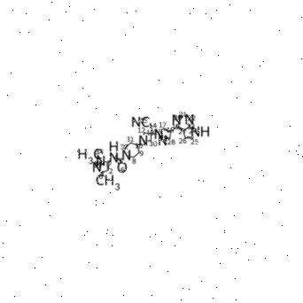 Cc1cc(NC(=O)N2CCC(N3CC(CC#N)(n4cc(-c5ncnc6[nH]ccc56)cn4)C3)CC2)n(C)n1